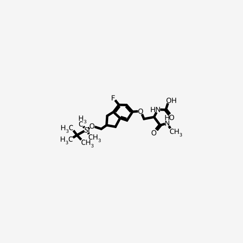 CNC(=O)C(COc1cc(F)c2c(c1)CC(CO[Si](C)(C)C(C)(C)C)C2)NC(=O)O